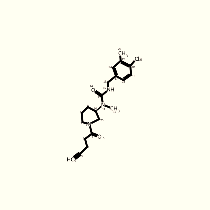 C#CCCC(=O)N1CCC[C@@H](N(C)C(=O)NCc2ccc(Cl)c(C)c2)C1